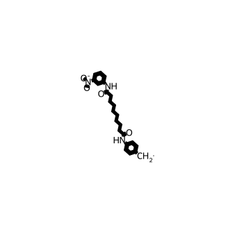 [CH2]c1ccc(NC(=O)CCCCCCCCC(=O)Nc2cccc([N+](=O)[O-])c2)cc1